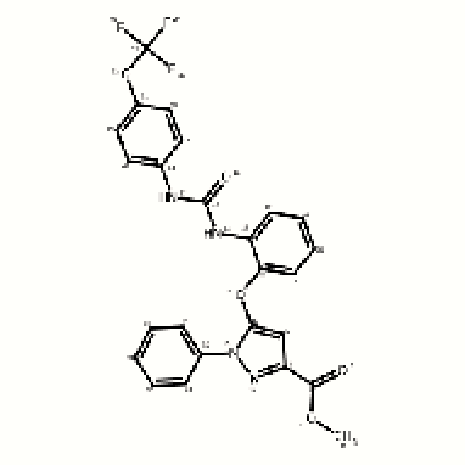 COC(=O)c1cc(Oc2ccccc2NC(=O)Nc2ccc(OC(F)(F)F)cc2)n(-c2ccccc2)n1